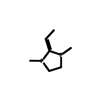 CC=C1P(C)CCP1C